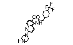 O=C(CC1CCC(C(F)(F)F)CC1)Nc1c(Cl)ccc2nc(N3CCNCC3)ccc12